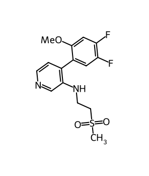 COc1cc(F)c(F)cc1-c1ccncc1NCCS(C)(=O)=O